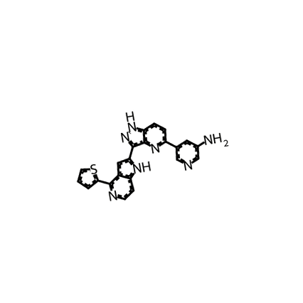 Nc1cncc(-c2ccc3[nH]nc(-c4cc5c(-c6cccs6)nccc5[nH]4)c3n2)c1